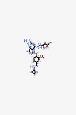 COc1cc(CNC23CC(C2)C3)ccc1Cn1ncc2nc(N)nc(NCc3cc(C)on3)c21